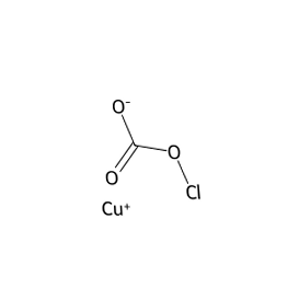 O=C([O-])OCl.[Cu+]